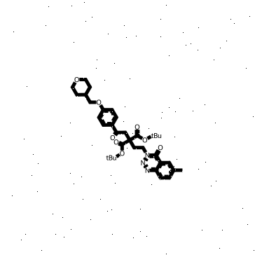 Cc1ccc2nnn(CCC(CC(=O)c3ccc(OCC4CCOCC4)cc3)(C(=O)OC(C)(C)C)C(=O)OC(C)(C)C)c(=O)c2c1